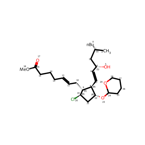 CCCC[C@H](C)C[C@H](O)C=C[C@@H]1[C@@H](CC=CCCCC(=O)OC)[C@H](Cl)C[C@H]1OC1CCCCO1